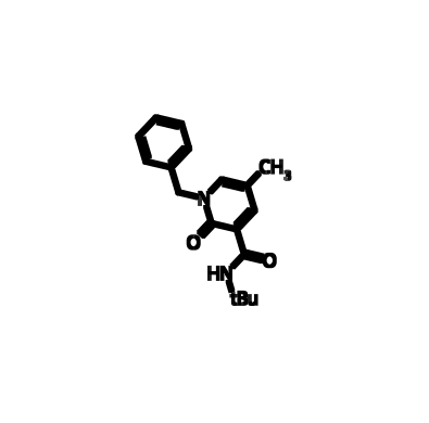 Cc1cc(C(=O)NC(C)(C)C)c(=O)n(Cc2ccccc2)c1